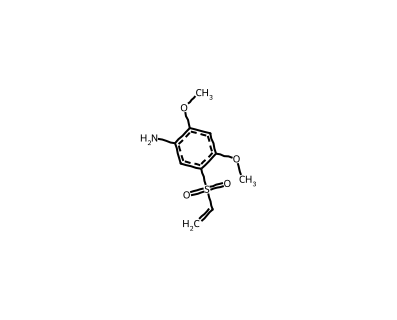 C=CS(=O)(=O)c1cc(N)c(OC)cc1OC